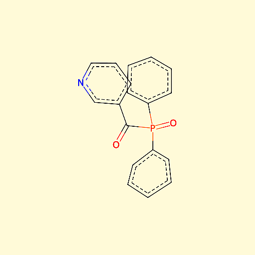 O=C(c1cccnc1)P(=O)(c1ccccc1)c1ccccc1